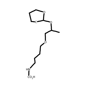 CC(COCCCCNC(=O)O)OC1CCCCO1